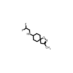 CC1=NOC2(CCC(NCC(F)F)CC2)C1